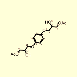 CC(=O)OCC(O)COc1ccc(OCC(O)COC(C)=O)cc1